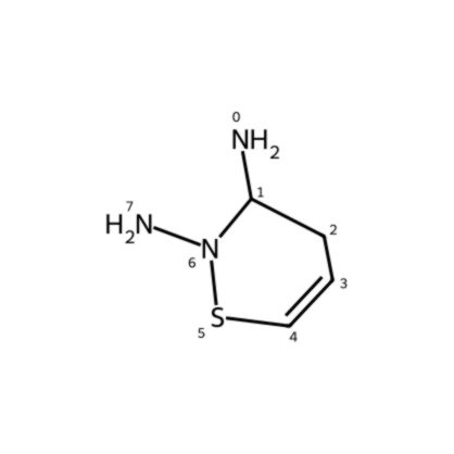 NC1CC=CSN1N